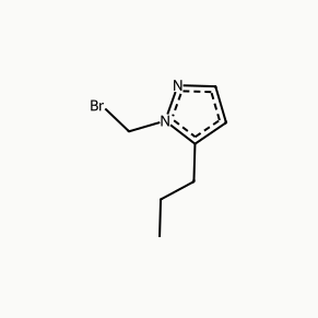 CCCc1ccnn1CBr